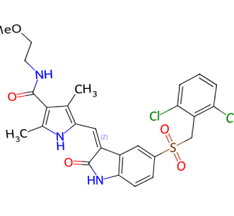 COCCNC(=O)c1c(C)[nH]c(/C=C2\C(=O)Nc3ccc(S(=O)(=O)Cc4c(Cl)cccc4Cl)cc32)c1C